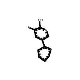 Oc1ncc(-c2ccccn2)cc1F